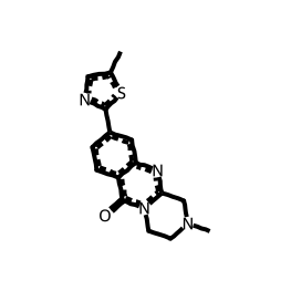 Cc1cnc(-c2ccc3c(=O)n4c(nc3c2)CN(C)CC4)s1